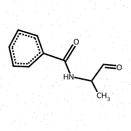 CC(C=O)NC(=O)c1ccccc1